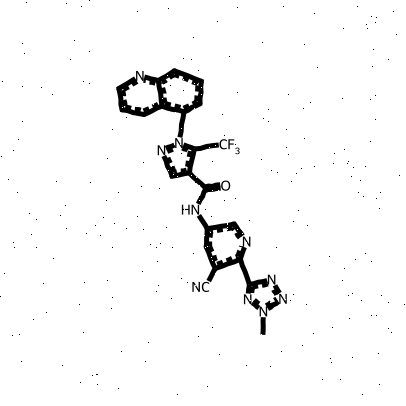 Cn1nnc(-c2ncc(NC(=O)c3cnn(-c4cccc5ncccc45)c3C(F)(F)F)cc2C#N)n1